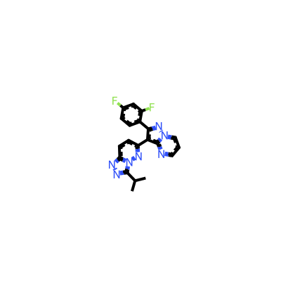 CC(C)c1nnc2ccc(-c3c(-c4ccc(F)cc4F)nn4cccnc34)nn12